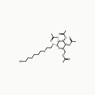 CC(=O)OC[C@H]1O[C@H](OCCSCCCCCCS)[C@H](OC(C)=O)[C@@H](OC(C)=O)[C@H]1OC(C)=O